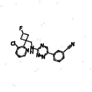 N#Cc1cccc(-c2cnc(NCC3(c4ncccc4Cl)CC(F)C3)nn2)c1